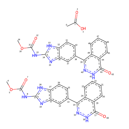 CC(=O)O.COC(=O)Nc1nc2cc(-c3n[nH]c(=O)c4ccccc34)ccc2[nH]1.COC(=O)Nc1nc2cc(-c3n[nH]c(=O)c4ccccc34)ccc2[nH]1